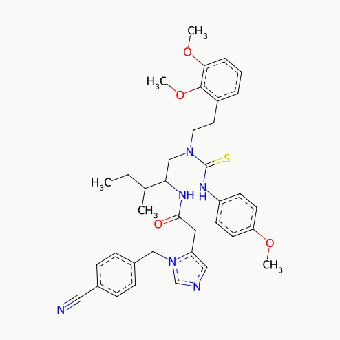 CCC(C)C(CN(CCc1cccc(OC)c1OC)C(=S)Nc1ccc(OC)cc1)NC(=O)Cc1cncn1Cc1ccc(C#N)cc1